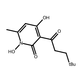 Cc1cc(O)c(C(=O)CCC(C)(C)C)c(=O)n1O